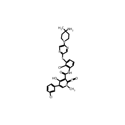 CN1C=C(c2cccc(Cl)c2)C(O)=C(C(=O)Nc2cccc(Sc3cnc(N4CCC(C)(N)CC4)cn3)c2Cl)C1=C=O